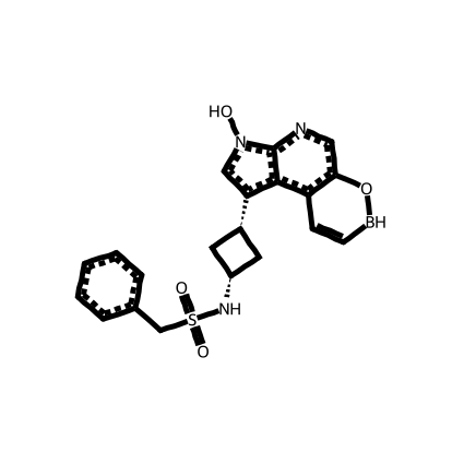 O=S(=O)(Cc1ccccc1)N[C@H]1C[C@@H](c2cn(O)c3ncc4c(c32)C=CBO4)C1